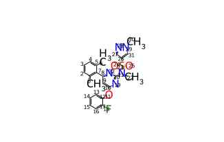 Cc1cccc(C)c1-c1cc(Oc2ccccc2F)nc(N(C)S(=O)(=O)c2cnn(C)c2)n1